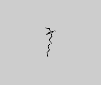 CCS(=O)(=O)CCOCCOC